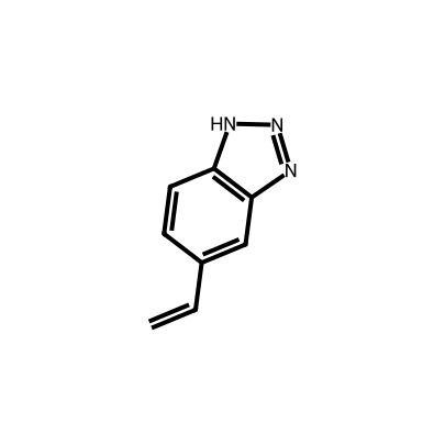 C=Cc1ccc2[nH]nnc2c1